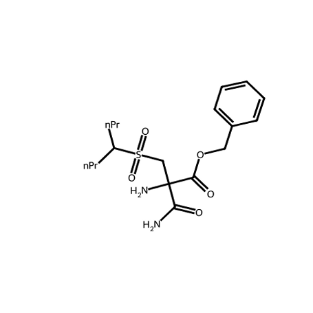 CCCC(CCC)S(=O)(=O)CC(N)(C(N)=O)C(=O)OCc1ccccc1